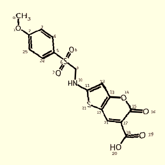 COc1ccc(S(=O)(=O)CNc2cc3oc(=O)c(C(=O)O)cc3s2)cc1